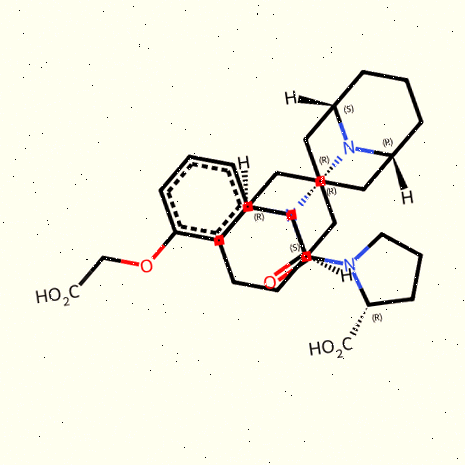 O=C(O)COc1cccc(N(C(=O)N2CCC[C@@H]2C(=O)O)[C@H]2C[C@H]3CCC[C@@H](C2)N3[C@H]2C[C@@H]3CCC[C@@H](C3)C2)c1